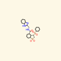 O=C(NCc1nc2ccccc2[nH]1)c1cccc2c1C(S(=O)(=O)c1ccccc1)CS2(=O)=O